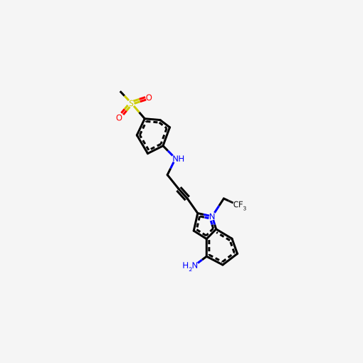 CS(=O)(=O)c1ccc(NCC#Cc2cc3c(N)cccc3n2CC(F)(F)F)cc1